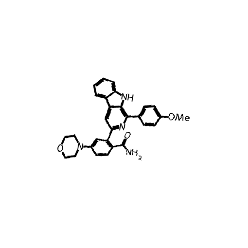 COc1ccc(-c2nc(-c3cc(N4CCOCC4)ccc3C(N)=O)cc3c2[nH]c2ccccc23)cc1